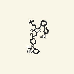 CN(C)[C@H]1CCN(c2ccccc2C2SC(CC(=O)N3CCC(n4c(=O)[nH]c5ncccc54)CC3)C(=O)N2CCC(C)(C)C)C1